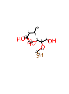 CCCC(=O)O.OCC(CO)OCS